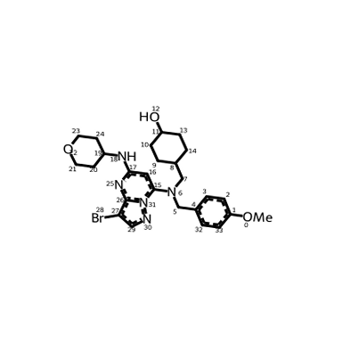 COc1ccc(CN(CC2CCC(O)CC2)c2cc(NC3CCOCC3)nc3c(Br)cnn23)cc1